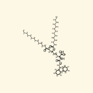 CCCCCCCCCCCCCC(=O)OC[C@H](CSC[C@H](NC(=O)OCC1c2ccccc2-c2ccccc21)C(=O)O)OC(=O)CCCCCCCCCCCCC